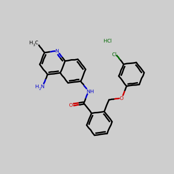 Cc1cc(N)c2cc(NC(=O)c3ccccc3COc3cccc(Cl)c3)ccc2n1.Cl